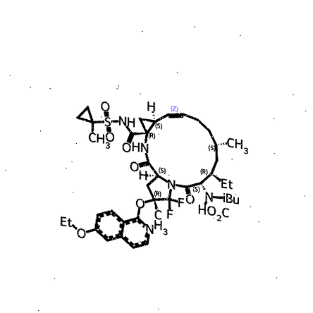 CCOc1ccc2c(O[C@]3(C)C[C@H]4C(=O)N[C@]5(C(=O)NS(=O)(=O)C6(C)CC6)C[C@H]5/C=C\CC[C@H](C)C[C@@H](CC)[C@H](N(C(=O)O)C(C)CC)C(=O)N4C3(F)F)nccc2c1